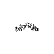 O=C(O)CC(NC(=O)c1cccc(N2CCC(CNC3=NCCCN3)CC2)c1)NS(=O)(=O)c1ccccc1